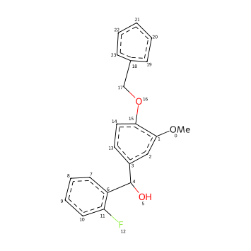 COc1cc(C(O)c2ccccc2F)ccc1OCc1ccccc1